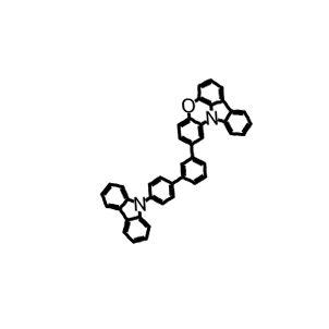 c1cc(-c2ccc(-n3c4ccccc4c4ccccc43)cc2)cc(-c2ccc3c(c2)-n2c4ccccc4c4cccc(c42)O3)c1